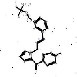 Cc1ccc(C(=O)c2cccn2C/C=C/c2cccc(COC(C)(C)C(=O)O)c2)cc1